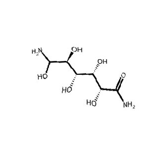 NC(=O)[C@H](O)[C@@H](O)[C@H](O)[C@H](O)C(N)O